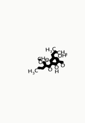 CCCC(C(=O)OC)C(=O)c1cc(CC(C)C)c(O)c(C=O)c1O